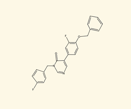 O=c1c(-c2ccc(OCc3ccccc3)c(F)c2)cncn1Cc1ccc(F)cc1